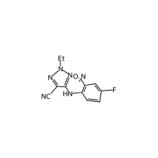 CCn1nc(C#N)c(Nc2ccc(F)cc2[N+](=O)[O-])n1